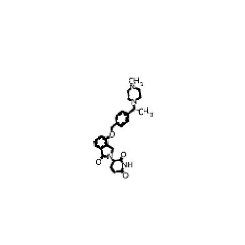 C[C@H](c1ccc(COc2cccc3c2CN(C2CCC(=O)NC2=O)C3=O)cc1)N1CCN(C)CC1